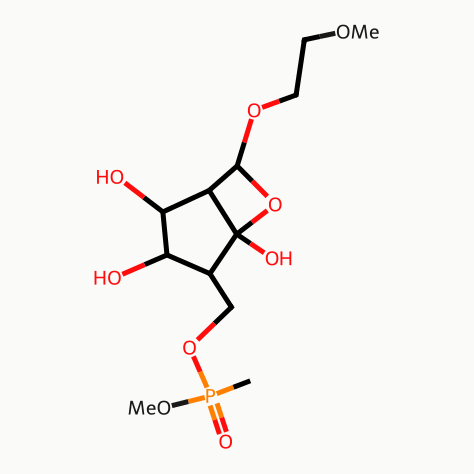 COCCOC1OC2(O)C(COP(C)(=O)OC)C(O)C(O)C12